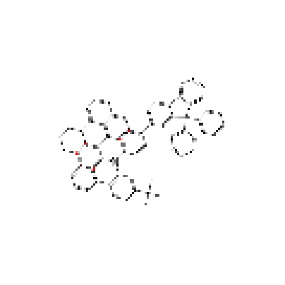 CC(C)(C)c1ccc(-c2ccccc2)c(N(c2ccc(-c3ccc4c(c3)C(c3ccccc3)(c3ccccc3)c3ccccc3-4)cc2)c2ccccc2-c2cccc3cccc(C4CCCCC4)c23)c1